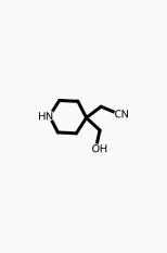 N#CCC1(CO)CCNCC1